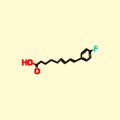 O=C(O)CCCCC=CC=Cc1ccc(F)cc1